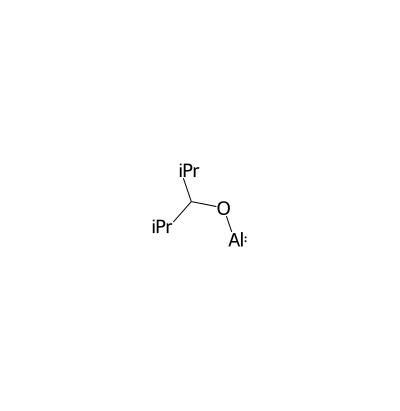 CC(C)C([O][Al])C(C)C